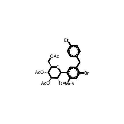 CCc1ccc(Cc2cc([C@@H]3O[C@H](COC(C)=O)[C@@H](OC(C)=O)[C@H](OC(C)=O)[C@H]3OC(C)=O)c(SC)cc2Br)cc1